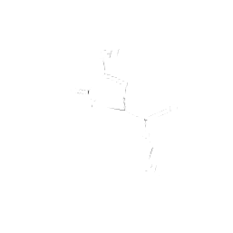 CCOC(=O)C1C=C(O)C(=O)O1